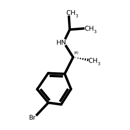 CC(C)N[C@H](C)c1ccc(Br)cc1